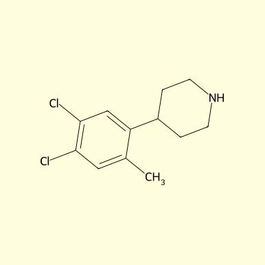 Cc1cc(Cl)c(Cl)cc1C1CCNCC1